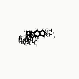 CCC[C]1([Hf]([CH3])([CH3])([CH3])([CH3])([CH3])([CH3])([CH3])[CH]2C=CC=C2)C=Cc2cc3c(cc21)CC(C)(C)C3